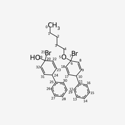 CCCCCOC1(Br)C=CC(c2ccccc2)C=C1.OC1(Br)C=CC(c2ccccc2)C=C1